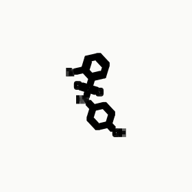 O=S(=O)(NC1CCC(O)CC1)c1ccccc1Br